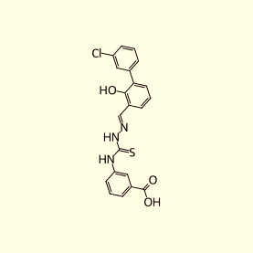 O=C(O)c1cccc(NC(=S)NN=Cc2cccc(-c3cccc(Cl)c3)c2O)c1